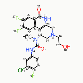 CN(C(=O)Nc1ccc(F)c(Cl)c1)[C@H]1CN(CCO)Cc2[nH]c(=O)c3cc(F)c(F)cc3c21